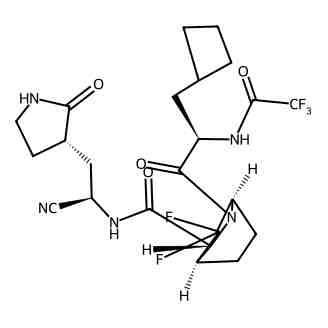 N#C[C@@H](C[C@@H]1CCNC1=O)NC(=O)[C@H]1[C@@H]2CC[C@@H](CC2(F)F)N1C(=O)[C@@H](CC1CCC1)NC(=O)C(F)(F)F